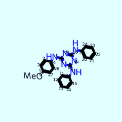 COc1ccc(Nc2nc(Nc3ccccc3)nc(Nc3ccccc3)n2)cc1